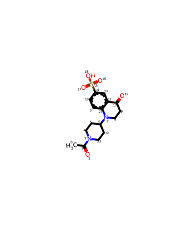 CC(=O)N1CCC(N2CCC(=O)c3cc(S(=O)(=O)O)ccc32)CC1